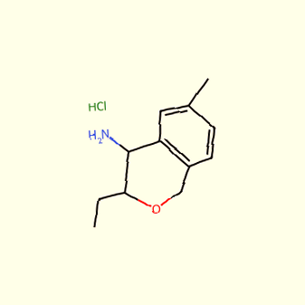 CCC1OCc2ccc(C)cc2C1N.Cl